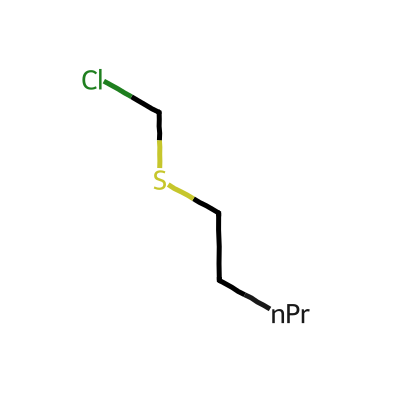 CCCCCSCCl